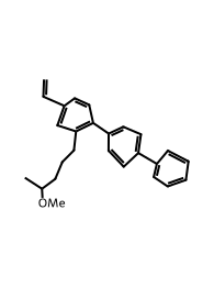 C=Cc1ccc(-c2ccc(-c3ccccc3)cc2)c(CCCC(C)OC)c1